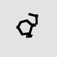 Br.C1COCCN1.COC